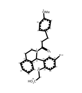 COc1ccc(CCC(=O)N2CCc3ccccc3C2c2cc(F)ccc2OCC(=O)O)cc1